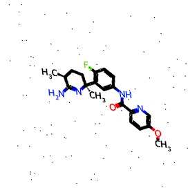 COc1ccc(C(=O)Nc2ccc(F)c([C@]3(C)CC[C@H](C)C(N)=N3)c2)nc1